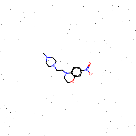 CN1CCN(CCN2CCOc3cc([N+](=O)[O-])ccc32)CC1